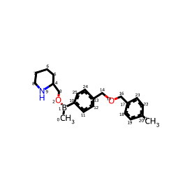 CB(OCC1CCCCN1)c1ccc(COCc2ccc(C)cc2)cc1